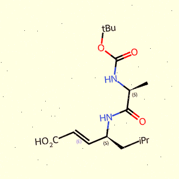 CC(C)C[C@@H](/C=C/C(=O)O)NC(=O)[C@H](C)NC(=O)OC(C)(C)C